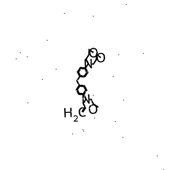 C=CCN(CC1CO1)c1ccc(Cc2ccc(N(CC3CO3)CC3CO3)cc2)cc1